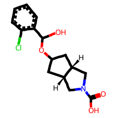 O=C(O)N1C[C@H]2CC(OC(O)c3ccccc3Cl)C[C@H]2C1